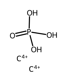 O=P(O)(O)O.[C+4].[C+4]